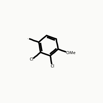 [CH2]c1ccc(OC)c(Cl)c1Cl